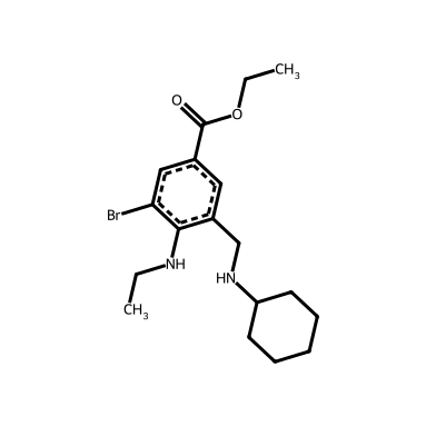 CCNc1c(Br)cc(C(=O)OCC)cc1CNC1CCCCC1